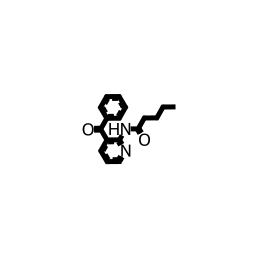 CCCCC(=O)Nc1ncccc1C(=O)c1ccccc1